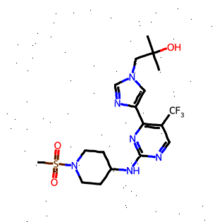 CC(C)(O)Cn1cnc(-c2nc(NC3CCN(S(C)(=O)=O)CC3)ncc2C(F)(F)F)c1